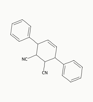 N#CC1C(c2ccccc2)C=CC(c2ccccc2)C1C#N